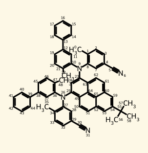 Cc1ccc(C#N)cc1N(c1cc(-c2ccccc2)ccc1C)c1cc(N(c2cc(C#N)ccc2C)c2cc(-c3ccccc3)ccc2C)c2ccc3cc(C(C)(C)C)cc4ccc1c2c43